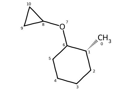 C[C@@H]1CCCCC1OC1CC1